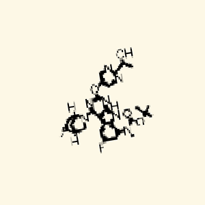 CC(O)c1ncc(Oc2nc(N3C[C@H]4C[C@@H]3C[C@H]4C)c3c(n2)[nH]c2c(N(C)C(=O)OC(C)(C)C)cc(F)cc23)cn1